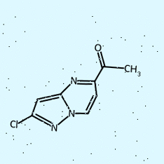 CC(=O)c1ccn2nc(Cl)cc2n1